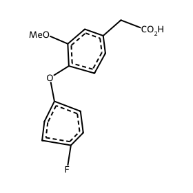 COc1cc(CC(=O)O)ccc1Oc1ccc(F)cc1